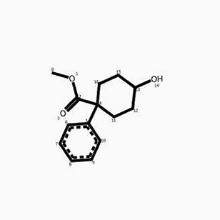 COC(=O)C1(c2ccccc2)CCC(O)CC1